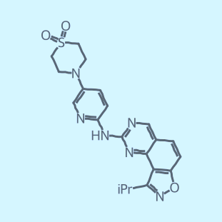 CC(C)c1noc2ccc3cnc(Nc4ccc(N5CCS(=O)(=O)CC5)cn4)nc3c12